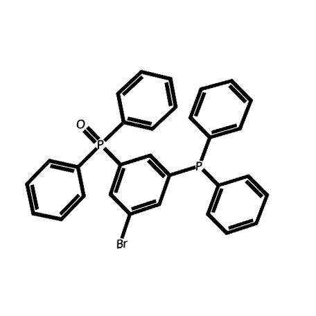 O=P(c1ccccc1)(c1ccccc1)c1cc(Br)cc(P(c2ccccc2)c2ccccc2)c1